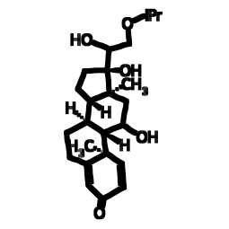 CC(C)OCC(O)[C@@]1(O)CC[C@H]2[C@@H]3CCC4=CC(=O)C=C[C@]4(C)[C@H]3C(O)C[C@@]21C